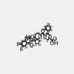 O=C(O)N1CCN(C(=O)N2CCC(O)(Cn3cnc4cc(F)c(F)cc4c3=O)C3(CCCC3)C2)[C@H](c2ccccc2)C1